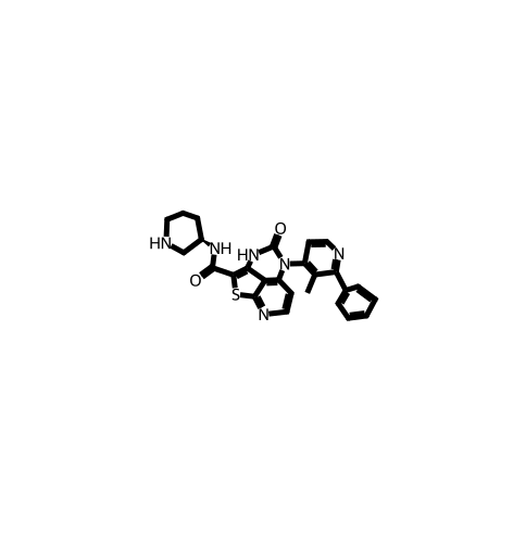 Cc1c(N2C(=O)Nc3c(C(=O)N[C@@H]4CCCNC4)sc4nccc2c34)ccnc1-c1ccccc1